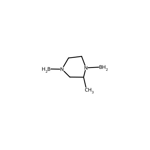 BN1CCN(B)C(C)C1